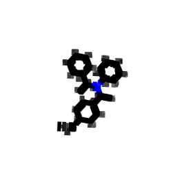 BC1C=CC(C(=C)N(C(=C)c2ccccc2)c2ccccc2)=CC1